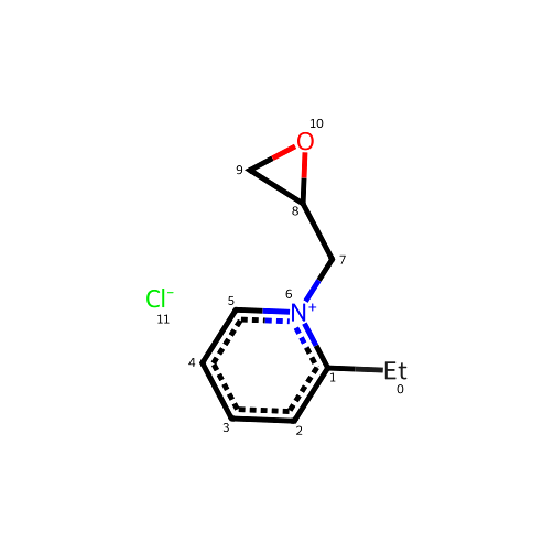 CCc1cccc[n+]1CC1CO1.[Cl-]